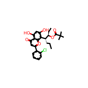 CCC[C@H](c1c(O)cc(O)c2c(=O)cc(-c3ccccc3Cl)oc12)[C@@H](CC)OC(=O)C(C)(C)C